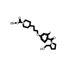 CC(C)(C)OC(=O)N1CCC(CCCOc2ccc(C(=O)N3CCCC3CO)c(F)c2)CC1